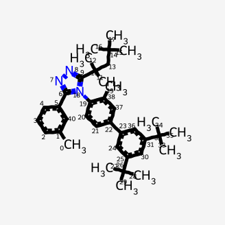 Cc1cccc(-c2nnc(C(C)(C)CC(C)(C)C)n2-c2ccc(-c3cc(C(C)(C)C)cc(C(C)(C)C)c3)cc2C)c1